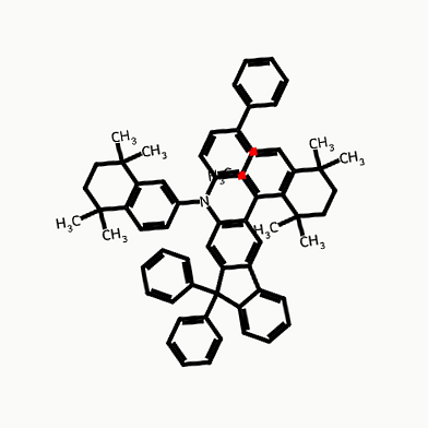 Cc1ccc2c(c1-c1cc3c(cc1N(c1ccc(-c4ccccc4)cc1)c1ccc4c(c1)C(C)(C)CCC4(C)C)C(c1ccccc1)(c1ccccc1)c1ccccc1-3)C(C)(C)CCC2(C)C